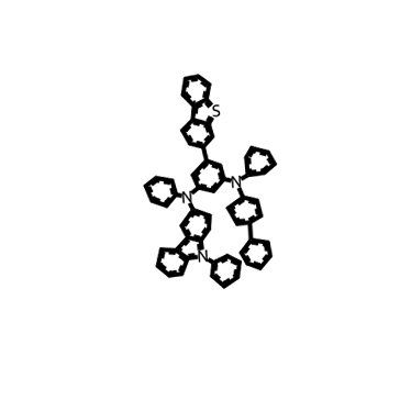 c1ccc(-c2ccc(N(c3ccccc3)c3cc(-c4ccc5c(c4)sc4ccccc45)cc(N(c4ccccc4)c4ccc5c(c4)c4ccccc4n5-c4ccccc4)c3)cc2)cc1